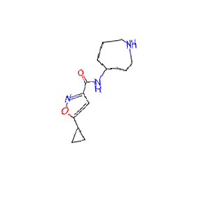 O=C(NC1CCCNCC1)c1cc(C2CC2)on1